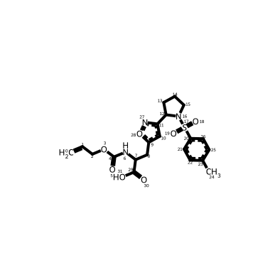 C=CCOC(=O)NC(Cc1cc(C2CCCN2S(=O)(=O)c2ccc(C)cc2)no1)C(=O)O